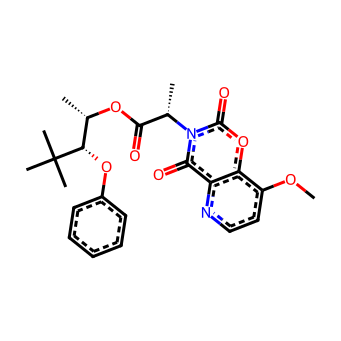 COc1ccnc2c(=O)n([C@@H](C)C(=O)O[C@@H](C)[C@H](Oc3ccccc3)C(C)(C)C)c(=O)oc12